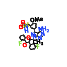 COc1ccc(-c2nn(C(C)c3oc4cccc(F)c4c(=O)c3-c3cccc(F)c3)c3ncnc(N)c23)cc1CN[SH](=O)=O